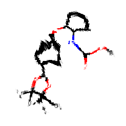 CC(C)(C)OC(=O)NC1CCCC1Oc1ccc(B2OC(C)(C)C(C)(C)O2)cc1